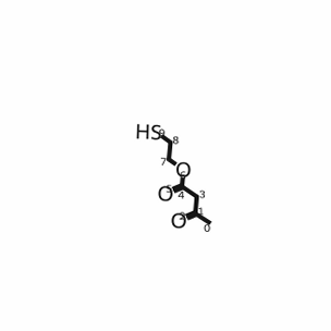 CC(=O)CC(=O)OCCS